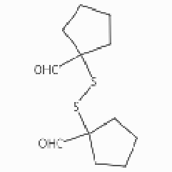 O=CC1(SSC2(C=O)CCCC2)CCCC1